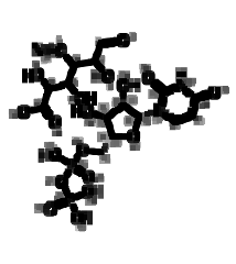 O=CC(O)C(O)C(O)C(O)C(=O)[O-].O=c1ccn([C@@H]2O[C@H](COP(=O)(O)OP(=O)(O)O)[C@@H](O)[C@H]2O)c(=O)[nH]1.[Na+]